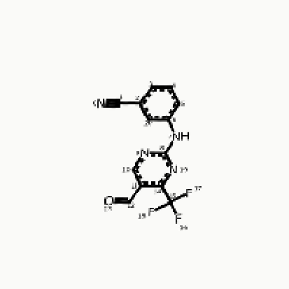 N#Cc1cccc(Nc2ncc(C=O)c(C(F)(F)F)n2)c1